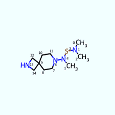 CN(C)SN(C)N1CCC2(CC1)CNC2